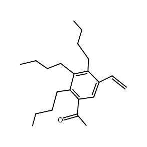 C=Cc1cc(C(C)=O)c(CCCC)c(CCCC)c1CCCC